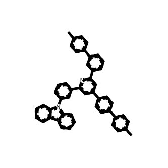 Cc1ccc(-c2ccc(-c3cc(-c4cccc(-c5ccc(C)cc5)c4)nc(-c4cccc(-n5c6ccccc6c6ccccc65)c4)c3)cc2)cc1